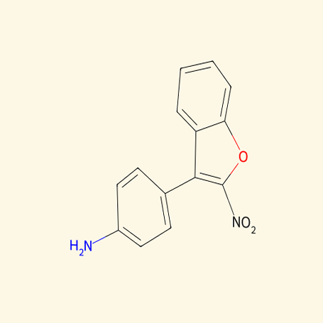 Nc1ccc(-c2c([N+](=O)[O-])oc3ccccc23)cc1